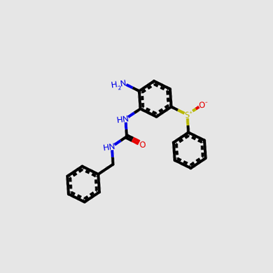 Nc1ccc([S+]([O-])c2ccccc2)cc1NC(=O)NCc1ccccc1